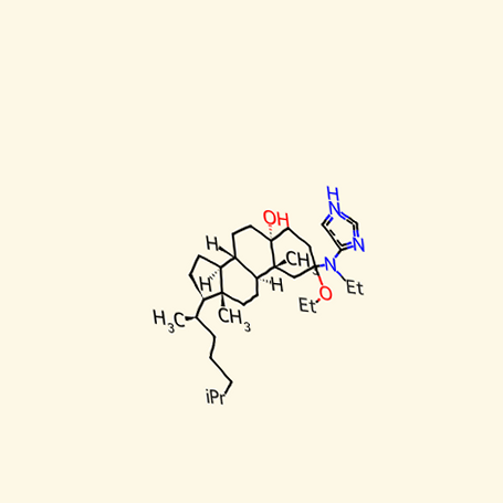 CCOC1(N(CC)c2c[nH]cn2)CC[C@]2(O)CC[C@H]3[C@@H]4CC[C@H]([C@H](C)CCCC(C)C)[C@@]4(C)CC[C@@H]3[C@@]2(C)C1